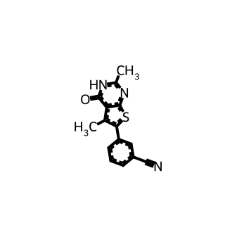 Cc1nc2sc(-c3cccc(C#N)c3)c(C)c2c(=O)[nH]1